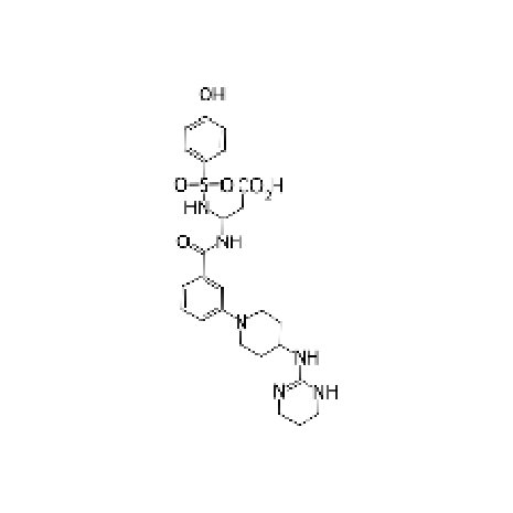 O=C(O)CC(NC(=O)c1cccc(N2CCC(NC3=NCCCN3)CC2)c1)NS(=O)(=O)c1ccc(O)cc1